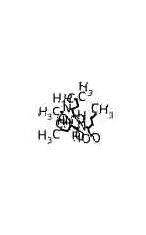 CCCCC(NC(=O)C(CC(C)C)NC(=O)C(CC(C)C)NC(C)=O)C(=O)O